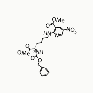 COC(=O)c1cc([N+](=O)[O-])cnc1NCCCC[C@H](NC(=O)OCc1ccccc1)C(=O)OC